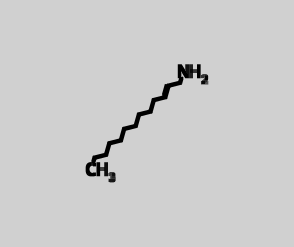 CCCCCCCCCCC=CCN